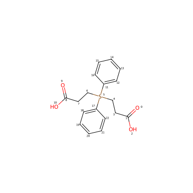 O=C(O)CCS(CCC(=O)O)(c1ccccc1)c1ccccc1